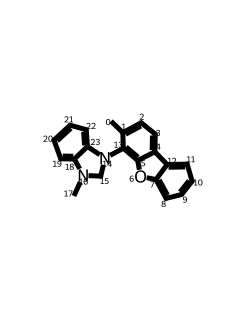 Cc1ccc2c(oc3ccccc32)c1N1CN(C)c2ccccc21